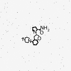 CN1CCN(c2cccc3c2C[C@H](n2cccc2C(N)=O)CO3)CC1